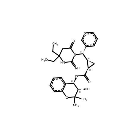 CCC1(CC)CC(=O)N([C@H](c2cccnc2)[C@@H]2C[C@H]2C(=O)N[C@@H]2c3ccccc3OC(C)(C)[C@H]2O)C(=N)N1